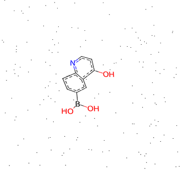 OB(O)c1ccc2nccc(O)c2c1